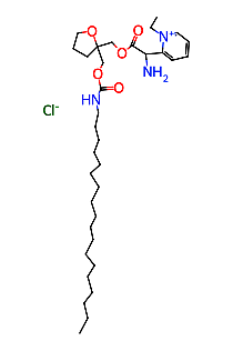 CCCCCCCCCCCCCCCCCCNC(=O)OCC1(COC(=O)C(N)c2cccc[n+]2CC)CCCO1.[Cl-]